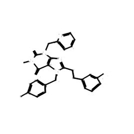 Cn1c(=O)c2c(nc(CCc3cccc(C(F)(F)F)c3)n2Cc2ccc(Cl)cc2)n(Cc2ccccn2)c1=O